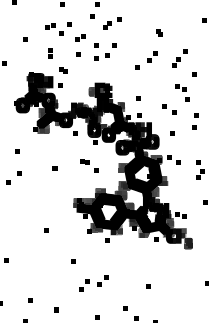 CCN(CC(=O)NS(=O)(=O)c1ccc(-n2nc(C(F)(F)F)cc2-c2ccc(C)cc2)cc1)[N+]([O-])=NOC(C)OC(=O)C(C)(C)C